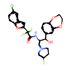 O=C(NC(CN1CC[C@@H](F)C1)C(O)c1ccc2c(c1)OCCO2)C(F)(F)c1cc2cc(Cl)ccc2o1